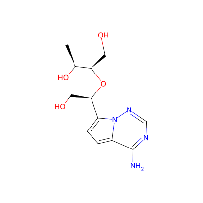 C[C@H](O)[C@@H](CO)O[C@H](CO)c1ccc2c(N)ncnn12